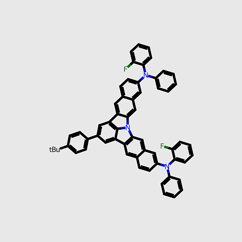 CC(C)(C)c1ccc(-c2cc3c4cc5ccc(N(c6ccccc6)c6ccccc6F)cc5cc4n4c5cc6cc(N(c7ccccc7)c7ccccc7F)ccc6cc5c(c2)c34)cc1